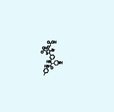 Cc1ccc(NC(=O)C(Nc2cccc(-c3sc(C(=O)O)c(OCC(=O)O)c3Br)c2)C2CCNCC2)cc1